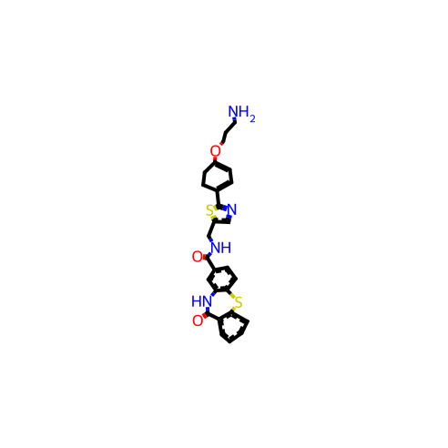 NCCCOC1=CC=C(c2ncc(CNC(=O)c3ccc4c(c3)NC(=O)c3ccccc3S4)s2)CC1